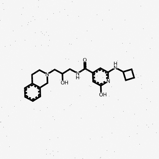 O=C(NCC(O)CN1CCc2ccccc2C1)c1cc(O)nc(NC2CCC2)c1